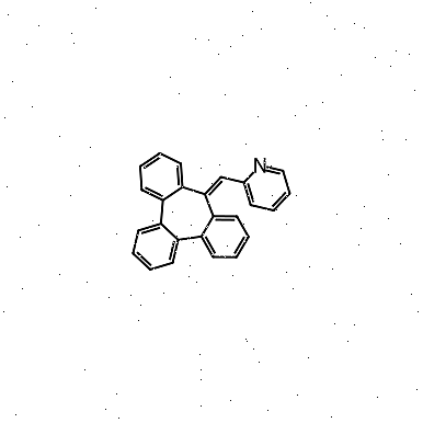 C(=C1c2ccccc2-c2ccccc2-c2ccccc21)c1ccccn1